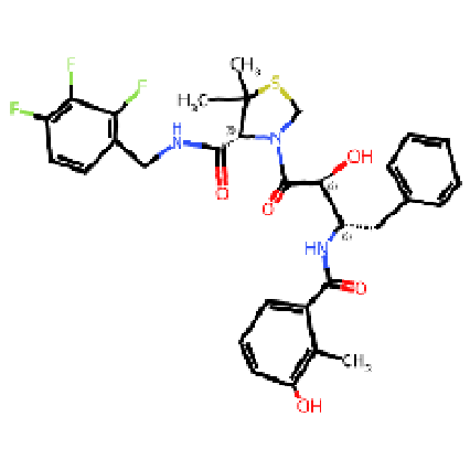 Cc1c(O)cccc1C(=O)N[C@@H](Cc1ccccc1)[C@H](O)C(=O)N1CSC(C)(C)[C@H]1C(=O)NCc1ccc(F)c(F)c1F